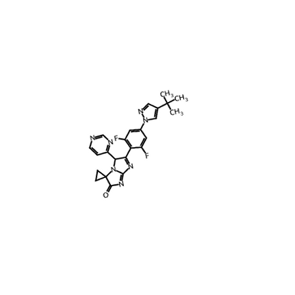 CC(C)(C)c1cnn(-c2cc(F)c(C3=NC4=NC(=O)C5(CC5)N4C3c3ccncn3)c(F)c2)c1